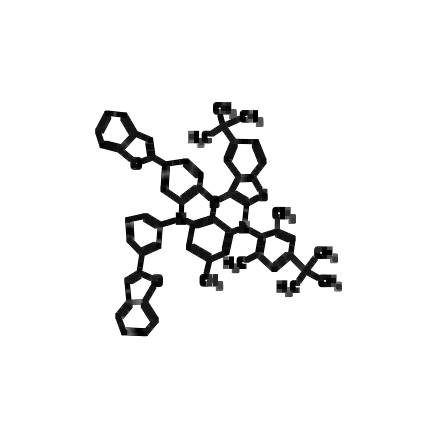 Cc1cc2c3c(c1)N(c1c(C)cc(C(C)(C)C)cc1C)c1sc4ccc(C(C)(C)C)cc4c1B3c1ccc(-c3cc4ccccc4o3)cc1N2c1cccc(-c2cc3ccccc3o2)c1